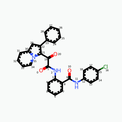 O=C(Nc1ccccc1C(=O)Nc1ccc(Cl)cc1)C(=O)c1c(-c2ccccc2)cc2ccccn12